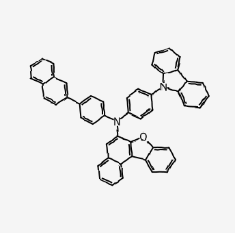 c1ccc2cc(-c3ccc(N(c4ccc(-n5c6ccccc6c6ccccc65)cc4)c4cc5ccccc5c5c4oc4ccccc45)cc3)ccc2c1